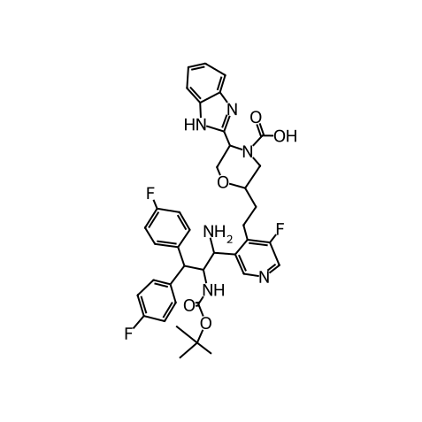 CC(C)(C)OC(=O)NC(C(N)c1cncc(F)c1CCC1CN(C(=O)O)C(c2nc3ccccc3[nH]2)CO1)C(c1ccc(F)cc1)c1ccc(F)cc1